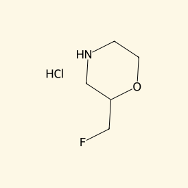 Cl.FCC1CNCCO1